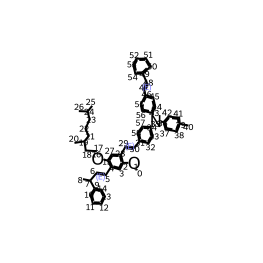 COc1cc(/C=C/C(C)c2ccccc2)c(OCCC(C)CCCC(C)C)cc1/C=C/c1ccc(N(c2ccc(C)cc2)c2ccc(/C=C/c3ccccc3)cc2)cc1